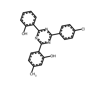 Cc1ccc(-c2nc(-c3ccc(Cl)cc3)nc(-c3ccccc3O)n2)c(O)c1